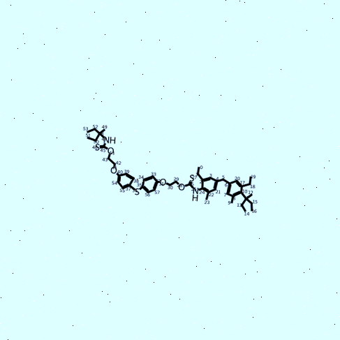 CCc1cc(Cc2cc(C)c(C(C)(CC)CC)c(CC)c2)cc(C)c1NC(=S)OCCOc1ccc(Sc2ccc(OCCOC(=S)NC(C)(CC)CC)cc2)cc1